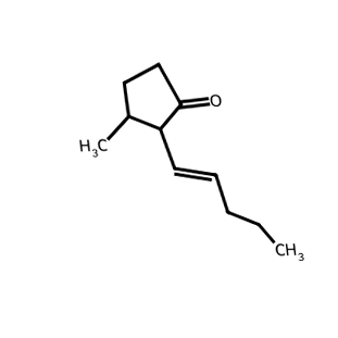 CCCC=CC1C(=O)CCC1C